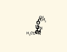 CCOc1cc(-c2ccc(N3CCC(CN(C)C)CC3)nc2)c2c(C#N)cnn2c1